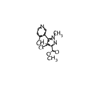 COC(=O)c1nn(C)c(-c2cnccc2C)c1Cl